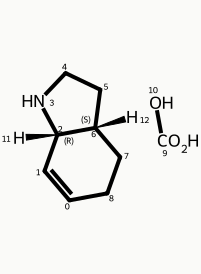 C1=C[C@@H]2NCC[C@@H]2CC1.O=C(O)O